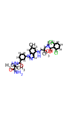 CCN(CC(O)(CNc1cc(C)cc2c1cnn2-c1cccc(C(=O)NC(C)(C)C(N)=O)c1)C(F)(F)F)C(=O)c1c(Cl)cccc1Cl